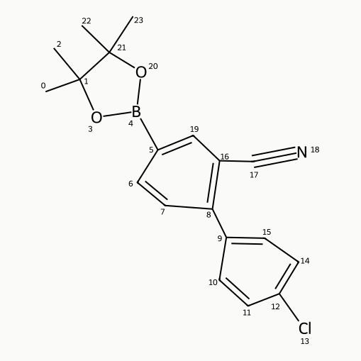 CC1(C)OB(c2ccc(-c3ccc(Cl)cc3)c(C#N)c2)OC1(C)C